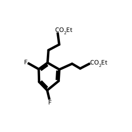 CCOC(=O)CCc1cc(F)cc(F)c1CCC(=O)OCC